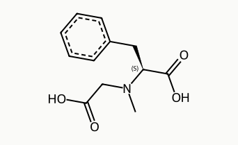 CN(CC(=O)O)[C@@H](Cc1ccccc1)C(=O)O